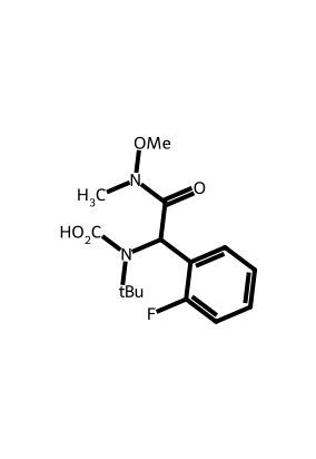 CON(C)C(=O)C(c1ccccc1F)N(C(=O)O)C(C)(C)C